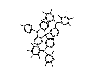 Cc1ccc(N2c3ccccc3C(c3cccc(N(c4cc(C)c(C)c(C)c4C)c4cc(C)c(C)c(C)c4C)c3)(c3cccc(N(c4cc(C)c(C)c(C)c4C)c4cc(C)c(C)c(C)c4C)c3)c3cc(C)ccc32)cc1